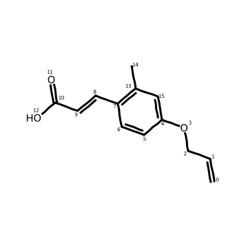 C=CCOc1ccc(C=CC(=O)O)c(C)c1